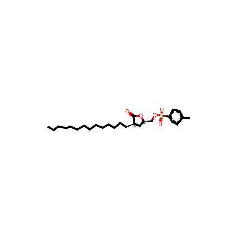 CCCCCCCCCCCCCC[C@@H]1C[C@H](COS(=O)(=O)c2ccc(C)cc2)OC1=O